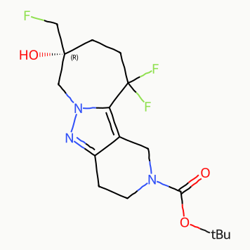 CC(C)(C)OC(=O)N1CCc2nn3c(c2C1)C(F)(F)CC[C@](O)(CF)C3